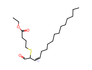 CCCCCCCCCCCC/C=C\C(C=O)SCCCC(=O)OCC